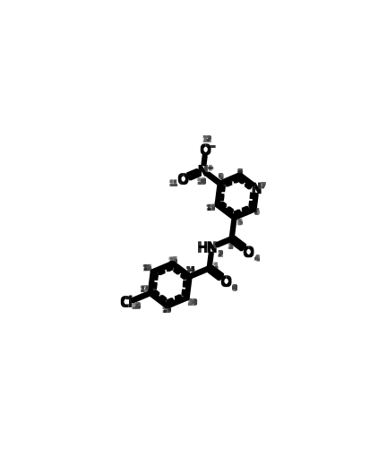 O=C(NC(=O)c1cncc([N+](=O)[O-])c1)c1ccc(Cl)cc1